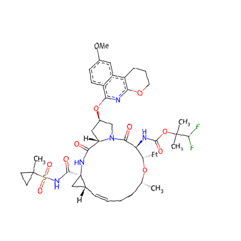 CC[C@@H]1O[C@H](C)CC/C=C\[C@@H]2C[C@@]2(C(=O)NS(=O)(=O)C2(C)CC2)NC(=O)[C@@H]2C[C@@H](Oc3nc4c(c5cc(OC)ccc35)CCCO4)CN2C(=O)[C@H]1NC(=O)OC(C)(C)C(F)F